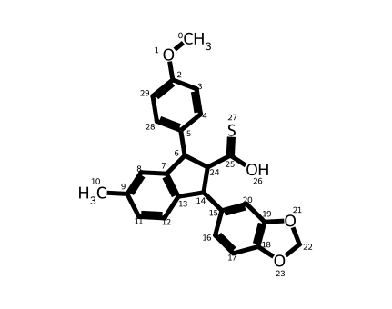 COc1ccc(C2c3cc(C)ccc3C(c3ccc4c(c3)OCO4)C2C(O)=S)cc1